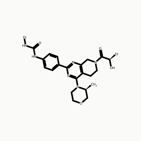 CCNC(=O)Nc1ccc(-c2nc3c(c(N4CCOC[C@@H]4C)n2)CCN(C(=O)[C@H](O)CC)C3)cc1